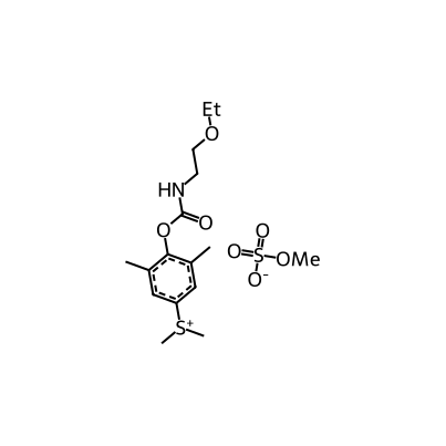 CCOCCNC(=O)Oc1c(C)cc([S+](C)C)cc1C.COS(=O)(=O)[O-]